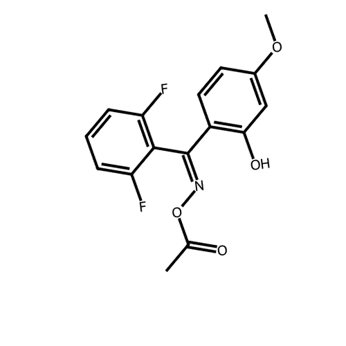 COc1ccc(C(=NOC(C)=O)c2c(F)cccc2F)c(O)c1